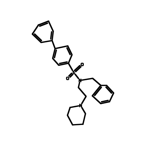 O=S(=O)(c1ccc(-c2ccccc2)cc1)N(CCN1CCCCC1)Cc1ccccc1